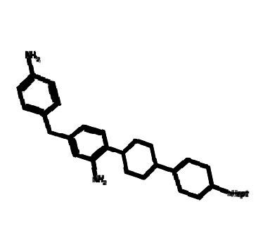 CCCCCCCC1CCC(C2CCC(c3ccc(Cc4ccc(N)cc4)cc3N)CC2)CC1